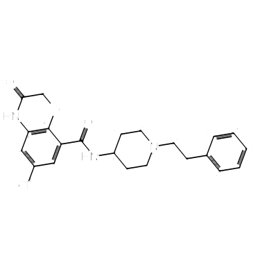 O=C1COc2c(cc(Cl)cc2C(=O)NC2CCN(CCc3ccccc3)CC2)N1